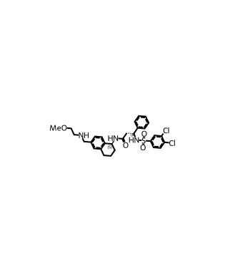 COCCNCc1ccc2c(c1)CCC[C@@H]2NC(=O)C[C@@H](NS(=O)(=O)c1ccc(Cl)c(Cl)c1)c1ccccc1